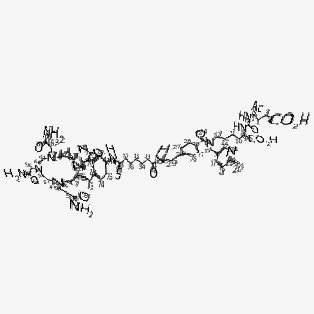 CC(=O)[C@@H](CCC(=O)O)NC(=O)N[C@H](CCCCN(Cc1ccc(C)nc1)C(=O)c1ccc(CNC(=O)CCCCCC(=S)Nc2ccc(CC3CN(CC(N)=O)CCN(CC(N)=O)CCN(CC(N)=O)CCN3CC(N)=O)cc2)cc1)C(=O)O